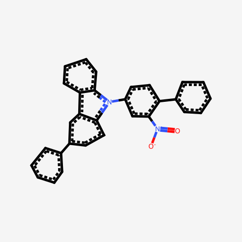 O=[N+]([O-])c1cc(-n2c3ccccc3c3cc(-c4ccccc4)ccc32)ccc1-c1ccccc1